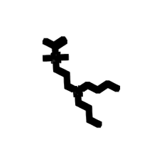 C=C(C)[Si](C)(C)CCCN(CCCC)CCCC